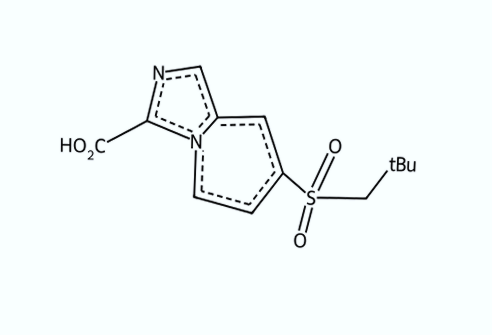 CC(C)(C)CS(=O)(=O)c1ccn2c(C(=O)O)ncc2c1